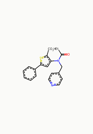 CCC(=O)N(Cc1ccncc1)c1cc(-c2ccccc2)sc1C(=O)O